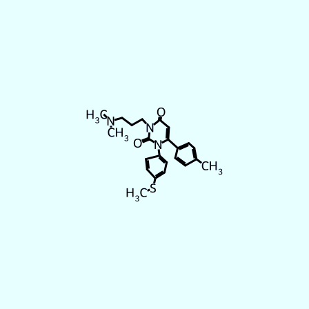 CSc1ccc(-n2c(-c3ccc(C)cc3)cc(=O)n(CCCN(C)C)c2=O)cc1